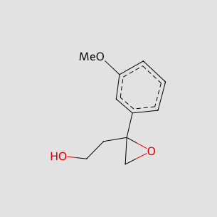 COc1cccc(C2(CCO)CO2)c1